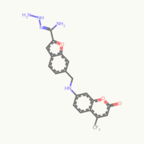 NN/N=C(\N)c1cc2ccc(CNc3ccc4c(C(F)(F)F)cc(=O)oc4c3)cc2o1